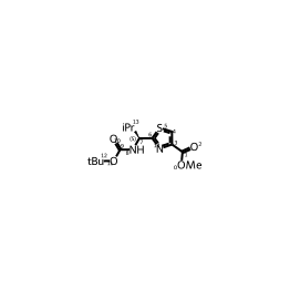 COC(=O)c1csc([C@@H](NC(=O)OC(C)(C)C)C(C)C)n1